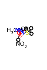 CN1CCN([C@]2(C)C[C@H](SC(c3ccccc3)(c3ccccc3)c3ccccc3)CN2C(=O)OCc2ccc([N+](=O)[O-])cc2)CC1